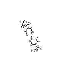 CS(=O)(=O)c1ccc(-c2ccc(C(=O)O)cc2)nc1